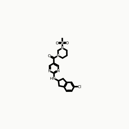 CS(=O)(=O)N1CCCN(C(=O)c2cnc(NC3Cc4ccc(Cl)cc4C3)nc2)C1